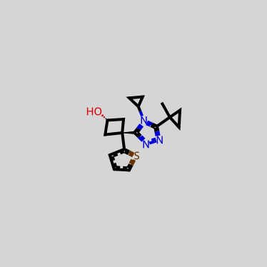 CC1(c2nnc([C@]3(c4cccs4)C[C@@H](O)C3)n2C2CC2)CC1